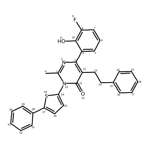 Cc1nc(-c2cccc(F)c2O)c(CCc2ccccc2)c(=O)n1-c1ccc(-c2ccccc2)s1